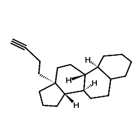 C#CCC[C@@]12CCC[C@H]1[C@@H]1CCC3CCCC[C@@H]3[C@H]1CC2